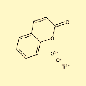 O=c1ccc2ccccc2o1.[O-2].[O-2].[Ti+4]